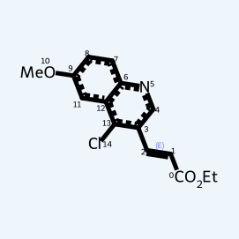 CCOC(=O)/C=C/c1cnc2ccc(OC)cc2c1Cl